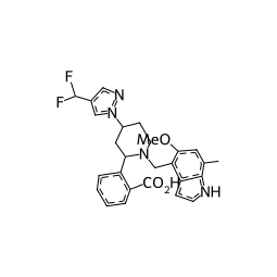 COc1cc(C)c2[nH]ccc2c1CN1CCC(n2cc(C(F)F)cn2)CC1c1ccccc1C(=O)O